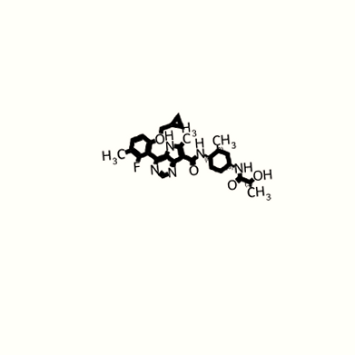 Cc1ccc(OCC2CC2)c(-c2ncnc3c(C(=O)N[C@@H]4CC[C@H](NC(=O)[C@H](C)O)C[C@H]4C)c(C)[nH]c23)c1F